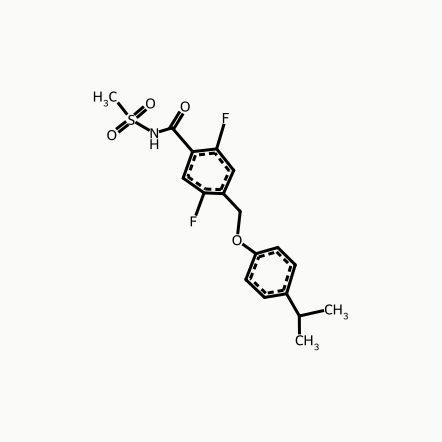 CC(C)c1ccc(OCc2cc(F)c(C(=O)NS(C)(=O)=O)cc2F)cc1